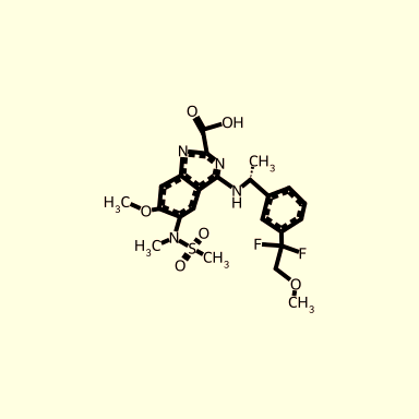 COCC(F)(F)c1cccc([C@@H](C)Nc2nc(C(=O)O)nc3cc(OC)c(N(C)S(C)(=O)=O)cc23)c1